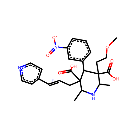 COCCC1(C(=O)O)C(C)NC(C)C(C/C=C/c2ccncc2)(C(=O)O)C1c1cccc([N+](=O)[O-])c1